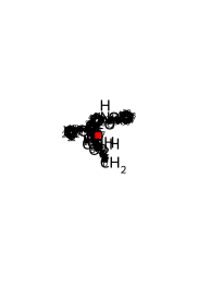 C=CCOC(=O)NS(=O)(=O)N(CC(=O)O)c1c(OCc2ccccc2)cc2c(c1F)C[C@H](NC(=O)OCc1ccccc1)CC2